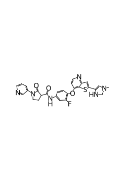 CN1C=C(c2cc3nccc(Oc4ccc(NC(=O)C5CCN(c6cccnc6)C5=O)cc4F)c3s2)NC1